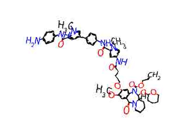 C=CCOC(=O)N1c2cc(OCCCC(=O)Nc3cc(C(=O)Nc4ccc(-c5cc(C(=O)Nc6ccc(N)cc6)n(C)c5)cc4)n(C)c3)c(OC)cc2C(=O)N2CCCC[C@H]2C1OC1CCCCO1